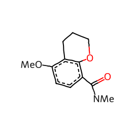 CNC(=O)c1ccc(OC)c2c1OCCC2